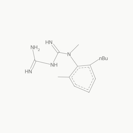 CCCCc1cccc(C)c1N(C)C(=N)NC(=N)N